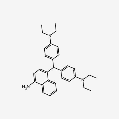 CCN(CC)c1ccc(C(c2ccc(N(CC)CC)cc2)c2ccc(N)c3ccccc23)cc1